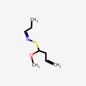 C=CCC(OC)S/N=C\CC